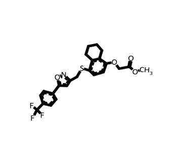 COC(=O)COc1ccc(SCc2cc(-c3ccc(C(F)(F)F)cc3)on2)c2c1CCCC2